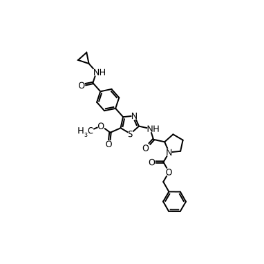 COC(=O)c1sc(NC(=O)C2CCCN2C(=O)OCc2ccccc2)nc1-c1ccc(C(=O)NC2CC2)cc1